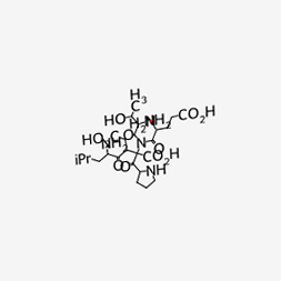 CC(C)CC(N)C(=O)C(CC(=O)O)C(C(=O)O)(C(=O)C1CCCN1)N(C(=O)C(N)CCC(=O)O)C(=O)C(N)C(C)O